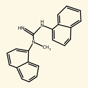 CN(C(=N)Nc1cccc2ccccc12)c1cccc2ccccc12